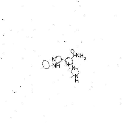 CC1CN(c2cc(C(N)=O)cc(-c3ccnc(NC4CCCCC4)c3)n2)CCN1